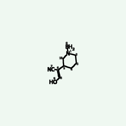 BN1CCCC(/C(C#N)=C/O)C1